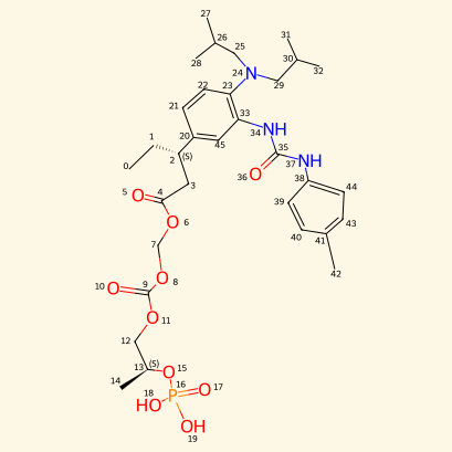 CC[C@@H](CC(=O)OCOC(=O)OC[C@H](C)OP(=O)(O)O)c1ccc(N(CC(C)C)CC(C)C)c(NC(=O)Nc2ccc(C)cc2)c1